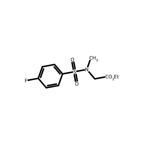 CCOC(=O)CN(C)S(=O)(=O)c1ccc(F)cc1